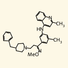 CO/N=C(\CCN1CCC(Cc2ccccc2)CC1)c1cc(C)cc(Nc2cc(C)nc3ccccc23)c1